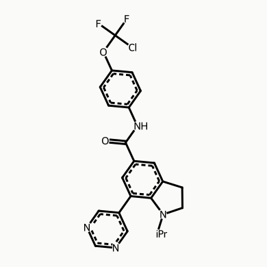 CC(C)N1CCc2cc(C(=O)Nc3ccc(OC(F)(F)Cl)cc3)cc(-c3cncnc3)c21